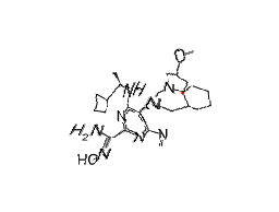 C=Nc1nc(/C(N)=N/O)nc(N[C@H](C)C2CCC2)c1N(CC1CCCCC1)CN1CCC(OC)C1